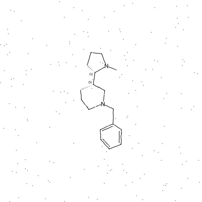 CN1CCC[C@H]1[C@H]1CCCN(Cc2ccccc2)C1